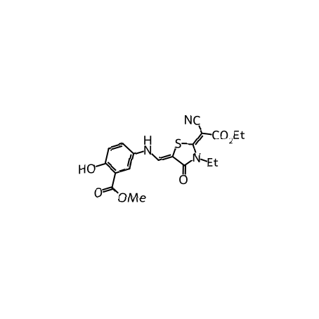 CCOC(=O)C(C#N)=c1sc(=CNc2ccc(O)c(C(=O)OC)c2)c(=O)n1CC